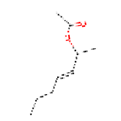 CCCC=CC(C)OC(C)=O